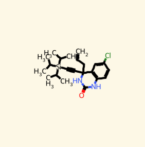 C=CCC1(C#C[Si](C(C)C)(C(C)C)C(C)C)NC(=O)Nc2ccc(Cl)cc21